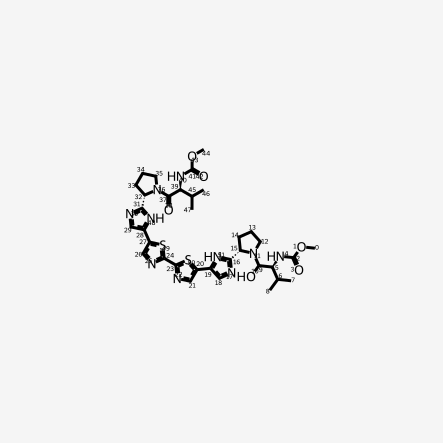 COC(=O)N[C@@H](C(C)C)C(O)N1CCC[C@H]1c1ncc(-c2cnc(-c3ncc(-c4cnc([C@@H]5CCCN5C(=O)[C@@H](NC(=O)OC)C(C)C)[nH]4)s3)s2)[nH]1